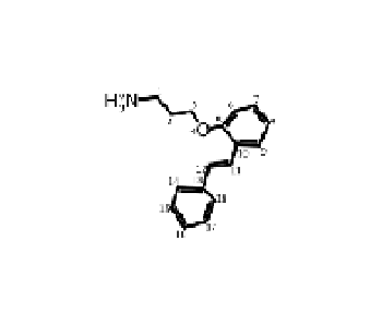 NCCCOc1ccccc1C=Cc1ccccc1